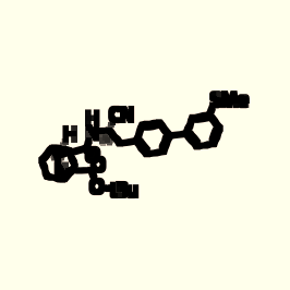 CSc1cccc(-c2ccc(C[C@@H](C#N)NC(=O)[C@@H]3C4CCC(CC4)N3C(=O)OC(C)(C)C)cc2)c1